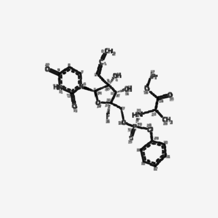 C=C=C[C@]1(O)[C@H](n2ccc(=O)[nH]c2=O)O[C@](F)(CO[P@@](=O)(NC(C)C(=O)OC(C)C)Oc2ccccc2)[C@H]1O